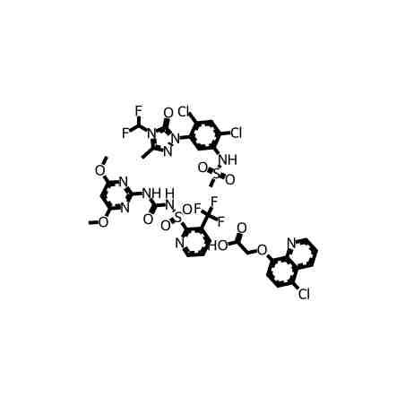 COc1cc(OC)nc(NC(=O)NS(=O)(=O)c2ncccc2C(F)(F)F)n1.Cc1nn(-c2cc(NS(C)(=O)=O)c(Cl)cc2Cl)c(=O)n1C(F)F.O=C(O)COc1ccc(Cl)c2cccnc12